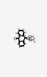 CN.O=C1c2ccccc2C(=O)c2ccccc21